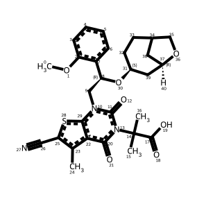 COc1ccccc1[C@H](Cn1c(=O)n(C(C)(C)C(=O)O)c(=O)c2c(C)c(C#N)sc21)O[C@H]1CCC2CO[C@H](C2)C1